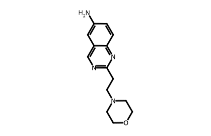 Nc1ccc2nc(CCN3CCOCC3)ncc2c1